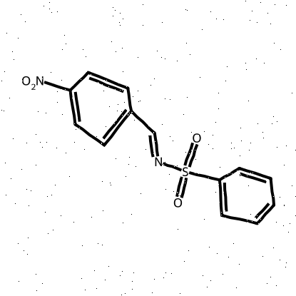 O=[N+]([O-])c1ccc(/C=N/S(=O)(=O)c2ccccc2)cc1